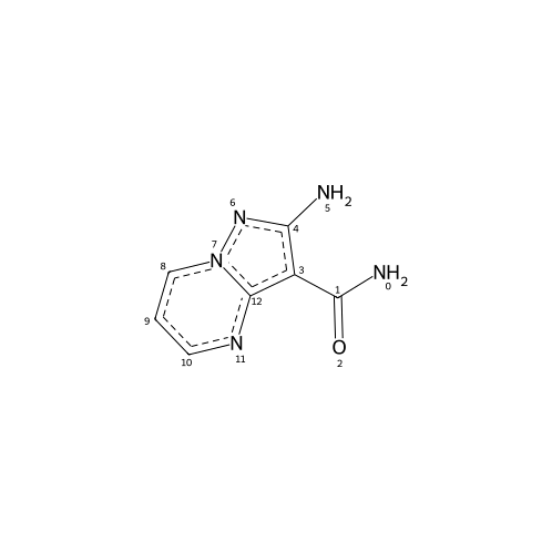 NC(=O)c1c(N)nn2cccnc12